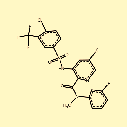 CN(C(=O)c1ncc(Cl)cc1NS(=O)(=O)c1ccc(Cl)c(C(F)(F)F)c1)c1cccc(F)c1